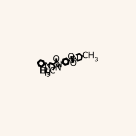 CCc1ccccc1NC=C1C(=O)N(c2ccc(S(=O)(=O)N3CCC(C)CC3)cc2)N=C1C